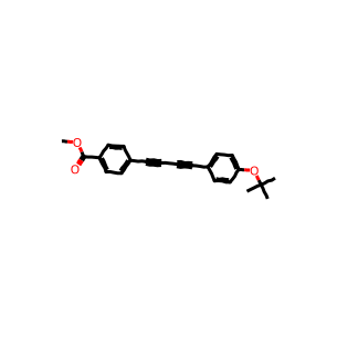 COC(=O)c1ccc(C#CC#Cc2ccc(OC(C)(C)C)cc2)cc1